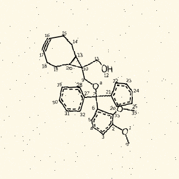 COc1cccc(C(OCC2(CO)C3CCC#CCCC32)(c2ccccc2)c2ccccc2)c1OC